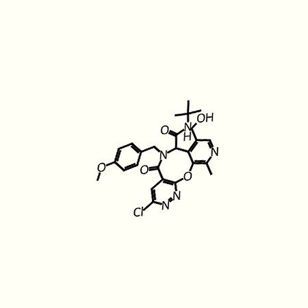 COc1ccc(CN2C(=O)c3cc(Cl)nnc3Oc3c(C)ncc(CO)c3C2C(=O)NC(C)(C)C)cc1